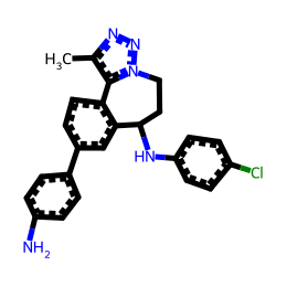 Cc1nnn2c1-c1ccc(-c3ccc(N)cc3)cc1C(Nc1ccc(Cl)cc1)CC2